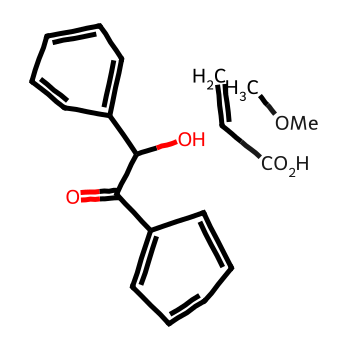 C=CC(=O)O.COC.O=C(c1ccccc1)C(O)c1ccccc1